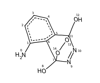 Nc1cccc2c1C1(O)N=NC2(O)OO1